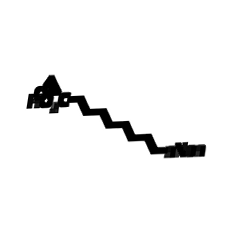 C1=CO1.CCCCCCCCCCCCCCCCCC(=O)O